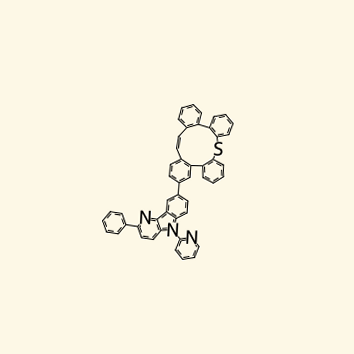 C1=C\c2ccc(-c3ccc4c(c3)c3nc(-c5ccccc5)ccc3n4-c3ccccn3)cc2-c2ccccc2Sc2ccccc2-c2ccccc2/1